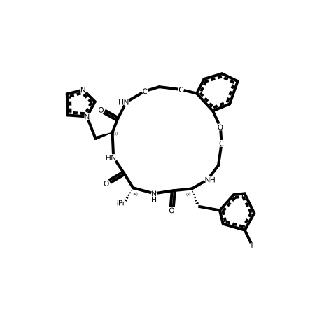 CC(C)[C@H]1NC(=O)[C@@H](Cc2cccc(I)c2)NCCOc2ccccc2CCCNC(=O)[C@H](Cn2ccnc2)NC1=O